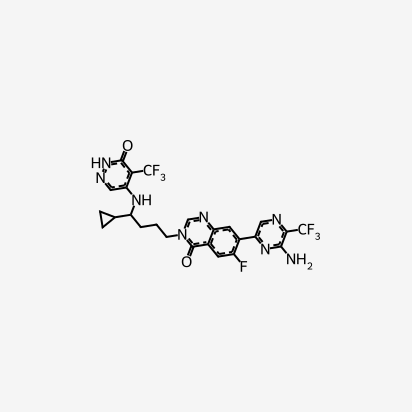 Nc1nc(-c2cc3ncn(CCCC(Nc4cn[nH]c(=O)c4C(F)(F)F)C4CC4)c(=O)c3cc2F)cnc1C(F)(F)F